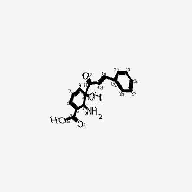 NC1C(C(=O)O)=CC=CC1(O)C(=O)/C=C/c1ccccc1